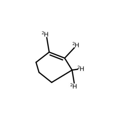 [2H]C1=C([2H])C([2H])([2H])CCC1